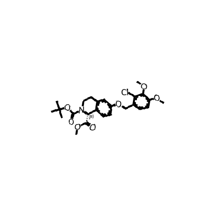 COC(=O)[C@H]1c2ccc(OCc3ccc(OC)c(OC)c3Cl)cc2CCN1C(=O)OC(C)(C)C